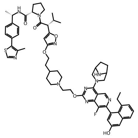 CCc1cccc2cc(O)cc(-c3ncc4c(N5CC6CCC(C5)N6)nc(OCCN5CCC(CCOc6cc([C@H](C(=O)N7CCC[C@H]7C(=O)N[C@@H](C)c7ccc(-c8scnc8C)cc7)C(C)C)on6)CC5)nc4c3F)c12